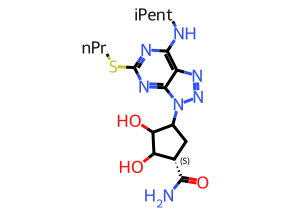 CCCSc1nc(NC(C)CCC)c2nnn(C3C[C@H](C(N)=O)C(O)C3O)c2n1